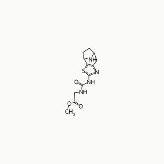 COC(=O)CNC(=O)Nc1nc2c(s1)C1CCC(C2)N1